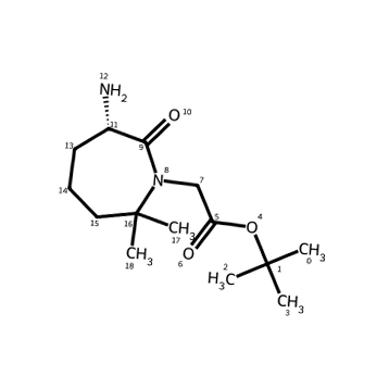 CC(C)(C)OC(=O)CN1C(=O)[C@@H](N)CCCC1(C)C